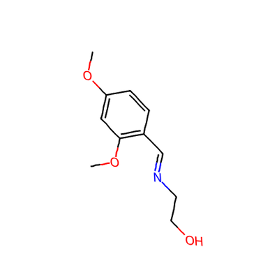 COc1ccc(C=NCCO)c(OC)c1